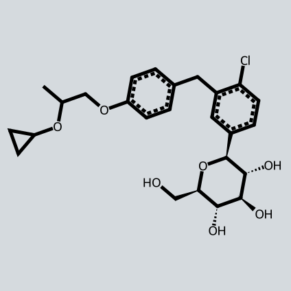 CC(COc1ccc(Cc2cc([C@@H]3O[C@H](CO)[C@@H](O)[C@H](O)[C@H]3O)ccc2Cl)cc1)OC1CC1